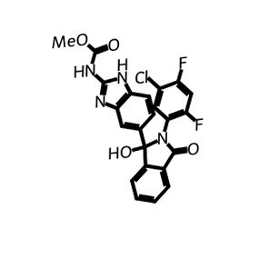 COC(=O)Nc1nc2cc(C3(O)c4ccccc4C(=O)N3c3cc(Cl)c(F)cc3F)ccc2[nH]1